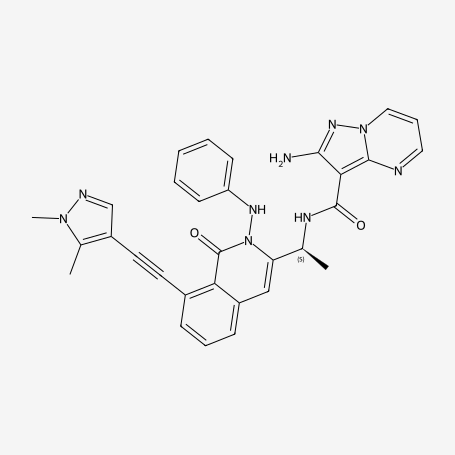 Cc1c(C#Cc2cccc3cc([C@H](C)NC(=O)c4c(N)nn5cccnc45)n(Nc4ccccc4)c(=O)c23)cnn1C